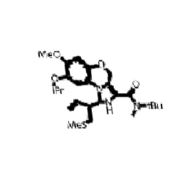 C=C/C(=C\SC)C1NC(C(=O)N(C)C(C)(C)C)=C2COc3cc(OC)c(OC(C)C)cc3N21